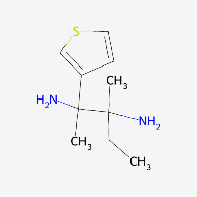 CCC(C)(N)C(C)(N)c1ccsc1